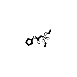 CCOP(=O)(CC(=O)OC1CCCC1)OCC